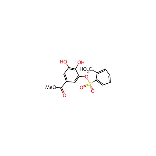 COC(=O)c1cc(O)c(O)c(OS(=O)(=O)c2ccccc2C(=O)O)c1